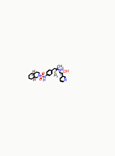 CC(C)(Cc1ccc(NS(=O)(=O)N2CC[C@H]3CCCC[C@H]3C2)cc1)NC[C@@H](O)c1cccnc1